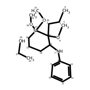 CCCC1(OC)C(Nc2ccccc2)CCC[Si]1(OC)OC.CCO